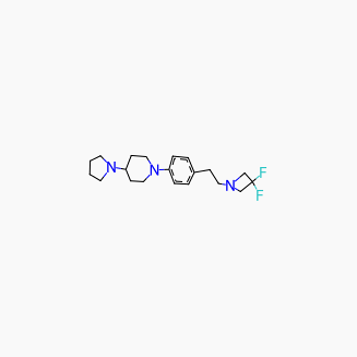 FC1(F)CN(CCc2ccc(N3CCC(N4CCCC4)CC3)cc2)C1